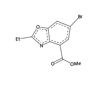 CCc1nc2c(C(=O)OC)cc(Br)cc2o1